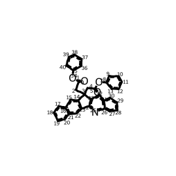 O=C(CC1(CC(=O)Oc2ccccc2)c2cc3ccccc3cc2-c2nc3ccccc3cc21)Oc1ccccc1